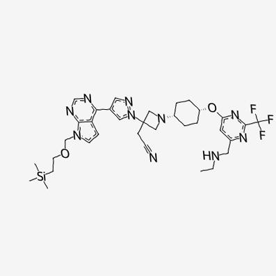 CCNCc1cc(O[C@H]2CC[C@@H](N3CC(CC#N)(n4cc(-c5ncnc6c5ccn6COCC[Si](C)(C)C)cn4)C3)CC2)nc(C(F)(F)F)n1